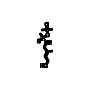 C/C(=C\CO)CNP(C)(=O)OP(C)(C)=O